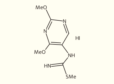 COc1ncc(NC(=N)SC)c(OC)n1.I